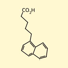 O=C(O)CCCCc1cccc2[c]cccc12